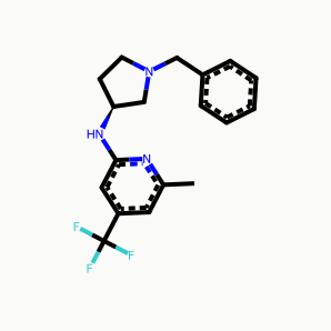 Cc1cc(C(F)(F)F)cc(N[C@H]2CCN(Cc3ccccc3)C2)n1